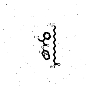 CCCCCCCCCCCCCC(=O)O.CN1C2CCC1CC(OC(=O)C(CO)c1ccccc1)C2